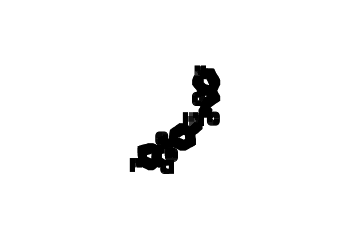 O=C(NCc1ccc(S(=O)(=O)c2ccc(F)cc2Cl)cc1)c1cc2ccncc2o1